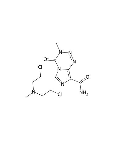 CN(CCCl)CCCl.Cn1nnc2c(C(N)=O)ncn2c1=O